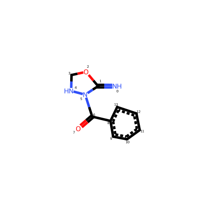 N=C1OCNN1C(=O)c1ccccc1